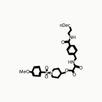 CCCCCCCCCCCCNC(=O)c1ccc(CNC(=O)C(=O)OCC2CCN(S(=O)(=O)c3ccc(OC)cc3)CC2)cc1